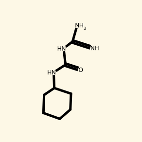 N=C(N)NC(=O)NC1CCCCC1